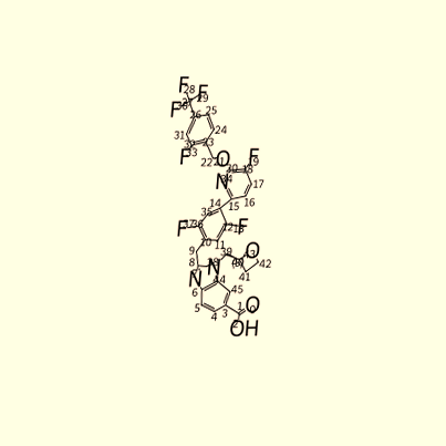 O=C(O)c1ccc2nc(Cc3cc(F)c(-c4ccc(F)c(OCc5ccc(C(F)(F)F)cc5F)n4)cc3F)n(C[C@@H]3CCO3)c2c1